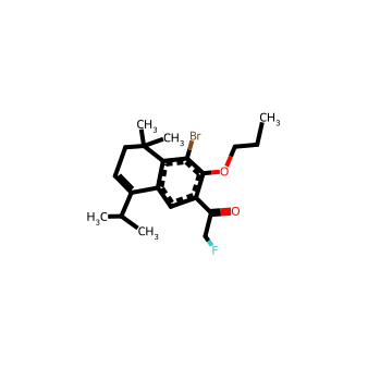 CCCOc1c(C(=O)CF)cc2c(c1Br)C(C)(C)CC=C2C(C)C